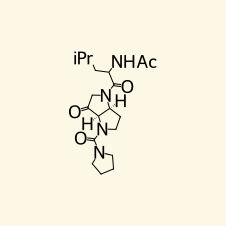 CC(=O)NC(CC(C)C)C(=O)N1CC(=O)[C@H]2[C@@H]1CCN2C(=O)N1CCCC1